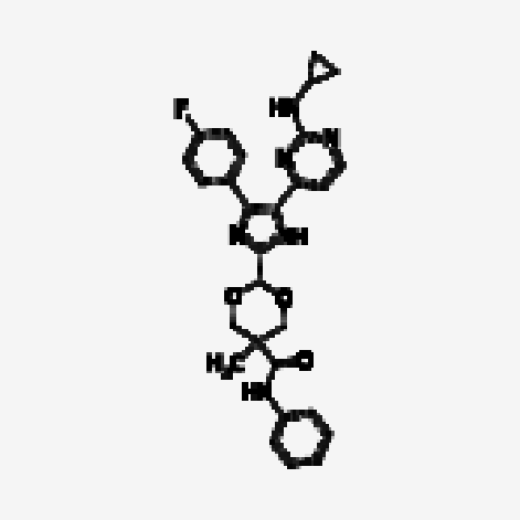 CC1(C(=O)Nc2ccccc2)COC(c2nc(-c3ccc(F)cc3)c(-c3ccnc(NC4CC4)n3)[nH]2)OC1